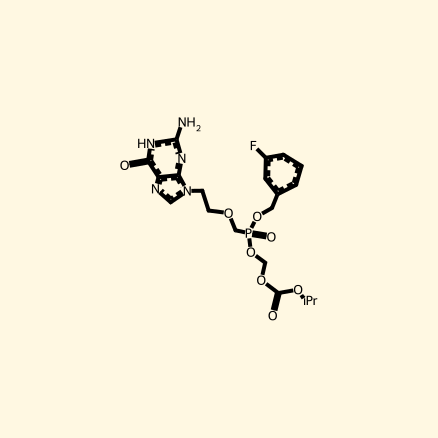 CC(C)OC(=O)OCOP(=O)(COCCn1cnc2c(=O)[nH]c(N)nc21)OCc1cccc(F)c1